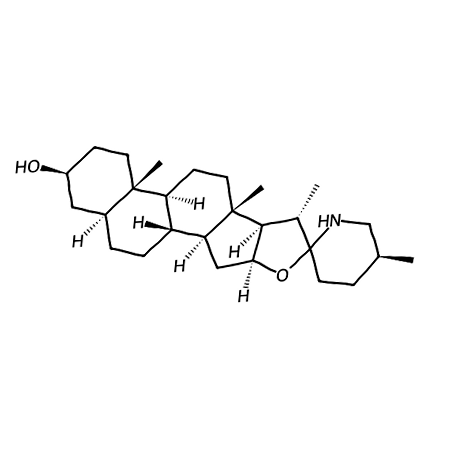 C[C@H]1CCC2(NC1)O[C@H]1C[C@H]3[C@@H]4CC[C@H]5C[C@@H](O)CC[C@]5(C)[C@H]4CC[C@]3(C)[C@H]1[C@@H]2C